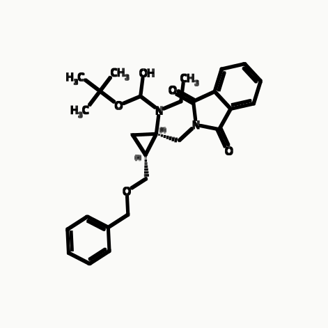 CCN(C(O)OC(C)(C)C)[C@]1(CN2C(=O)c3ccccc3C2=O)C[C@H]1COCc1ccccc1